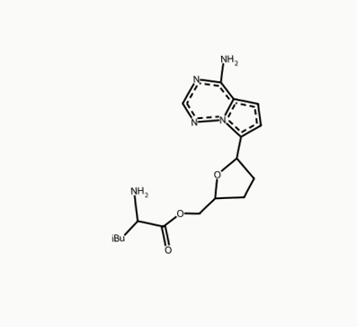 CCC(C)C(N)C(=O)OCC1CCC(c2ccc3c(N)ncnn23)O1